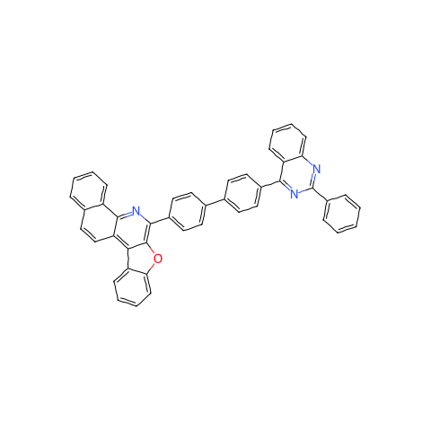 c1ccc(-c2nc(-c3ccc(-c4ccc(-c5nc6c7ccccc7ccc6c6c5oc5ccccc56)cc4)cc3)c3ccccc3n2)cc1